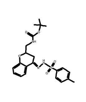 Cc1ccc(S(=O)(=O)NN=C2CC(CNC(=O)OC(C)(C)C)Oc3ccccc32)cc1